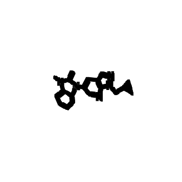 C=C1N(C)c2ccccc2N1c1cnc2c(cnn2CC2CC2)c1